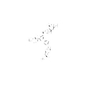 CCN(C(=O)C1CCCC1)c1cc(-c2ccc(CN3CCN(C(=O)OC(C)(C)C)CC3)cc2)cc(C(=O)NCc2c(C)cc(C)[nH]c2=O)c1C